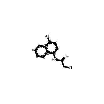 O=C(CCl)Nc1ccc(Cl)c2ccccc12